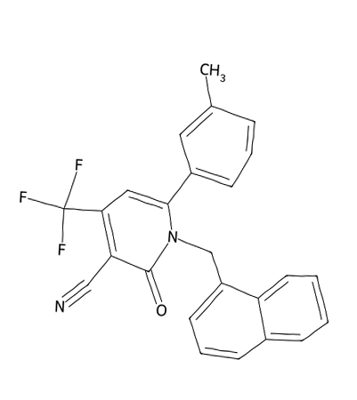 Cc1cccc(-c2cc(C(F)(F)F)c(C#N)c(=O)n2Cc2cccc3ccccc23)c1